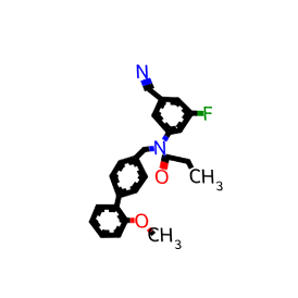 CCC(=O)N(Cc1ccc(-c2ccccc2OC)cc1)c1cc(F)cc(C#N)c1